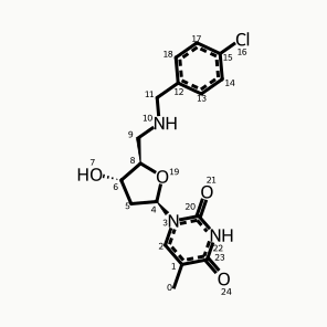 Cc1cn([C@H]2C[C@H](O)[C@@H](CNCc3ccc(Cl)cc3)O2)c(=O)[nH]c1=O